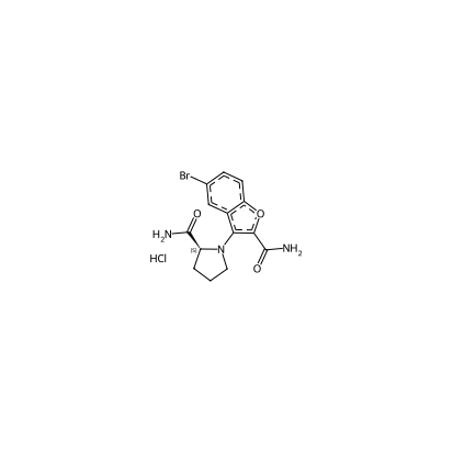 Cl.NC(=O)c1oc2ccc(Br)cc2c1N1CCC[C@H]1C(N)=O